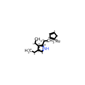 C1=CCC=C1.CCc1c[nH]c(CC)c1CC.[Ru]